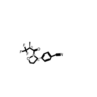 C[C@@H](C(=O)N1OCC[C@H]1c1ccc(C#N)cc1)C(F)(F)F